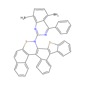 Bc1ccc(B)c2c(-c3ccccc3)nc(N3Sc4ccc5ccccc5c4-c4c3c3sc5ccccc5c3c3ccccc43)nc12